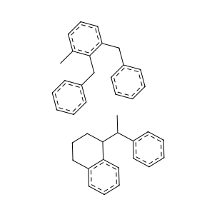 CC(c1ccccc1)C1CCCc2ccccc21.Cc1cccc(Cc2ccccc2)c1Cc1ccccc1